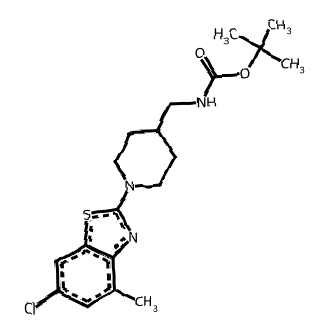 Cc1cc(Cl)cc2sc(N3CCC(CNC(=O)OC(C)(C)C)CC3)nc12